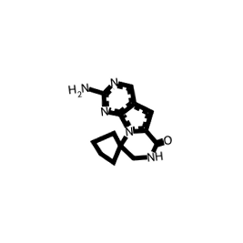 Nc1ncc2cc3n(c2n1)C1(CCCC1)CNC3=O